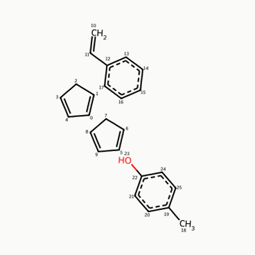 C1=CCC=C1.C1=CCC=C1.C=Cc1ccccc1.Cc1ccc(O)cc1